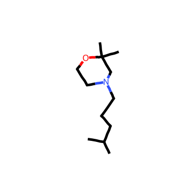 CC(C)CCCN1CCOC(C)(C)C1